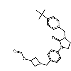 CC(C)(C)c1ccc(CN2CCN(c3ccc(CN4CC(OC=O)C4)cc3)C2=O)cc1